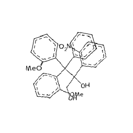 COc1ccccc1C(c1ccccc1)(c1ccccc1OC)C(O)(CO)c1ccccc1[N+](=O)[O-]